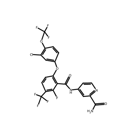 NC(=O)c1cc(NC(=O)c2c(Oc3ccc(OC(F)(F)F)c(Cl)c3)ccc(C(F)(F)F)c2F)ccn1